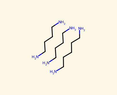 NCCCCCN.NCCCCN.NCCCCN